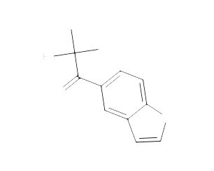 CCC(C)(C)C(=O)c1ccc2occc2c1